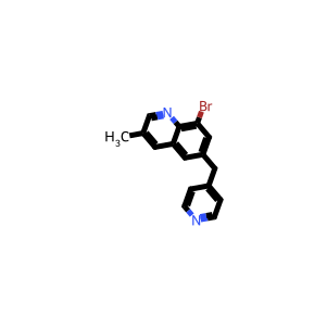 Cc1cnc2c(Br)cc(Cc3ccncc3)cc2c1